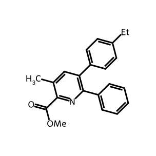 CCc1ccc(-c2cc(C)c(C(=O)OC)nc2-c2ccccc2)cc1